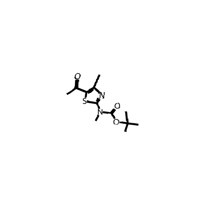 CC(=O)c1sc(N(C)C(=O)OC(C)(C)C)nc1C